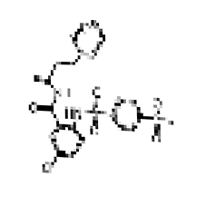 C=C(CCc1ccccc1)NC(=O)c1cc(Cl)ccc1NS(=O)(=O)c1ccc(S(C)(=O)=O)cc1